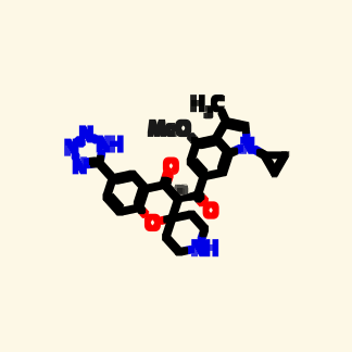 COc1cc(C(=O)[C@@H]2C(=O)c3cc(-c4nnn[nH]4)ccc3OC23CCNCC3)cc2c1c(C)cn2C1CC1